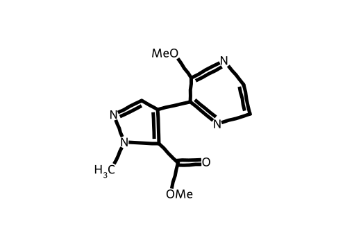 COC(=O)c1c(-c2nccnc2OC)cnn1C